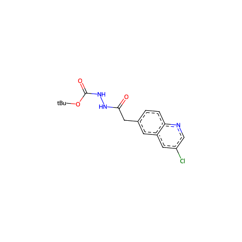 CC(C)(C)OC(=O)NNC(=O)Cc1ccc2ncc(Cl)cc2c1